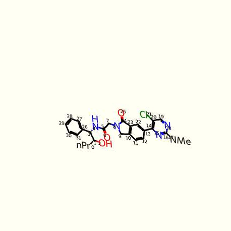 CCC[C@H](O)[C@@H](NC(=O)CN1Cc2ccc(-c3nc(NC)ncc3Cl)cc2C1=O)c1ccccc1